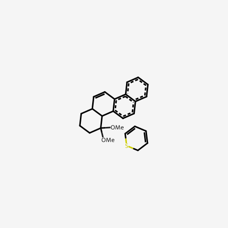 C1=CCSC=C1.COC1(OC)CCCC2C=Cc3c(ccc4ccccc34)C21